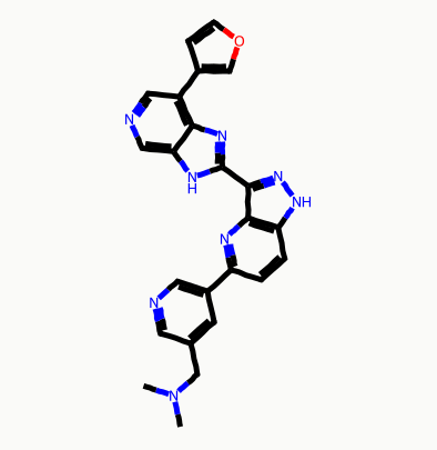 CN(C)Cc1cncc(-c2ccc3[nH]nc(-c4nc5c(-c6ccoc6)cncc5[nH]4)c3n2)c1